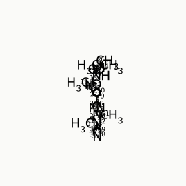 C[C@@H]1CN(c2ncc(-c3cccc(CN(C)C(=O)CNC(=O)OC(C)(C)C)c3)cn2)[C@@H](C)CN1c1ccncc1